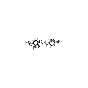 CCCC1CC=C(CCCOc2ccc(OCC)c(F)c2F)CO1